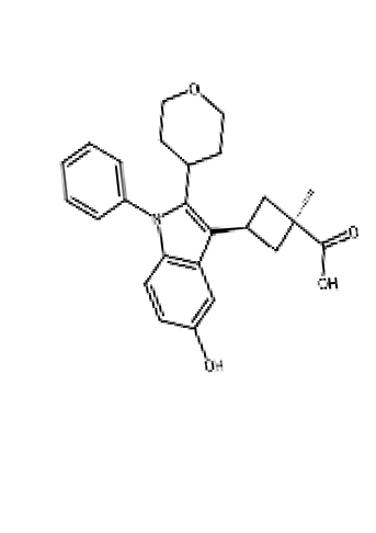 C[C@]1(C(=O)O)C[C@@H](c2c(C3CCOCC3)n(-c3ccccc3)c3ccc(O)cc32)C1